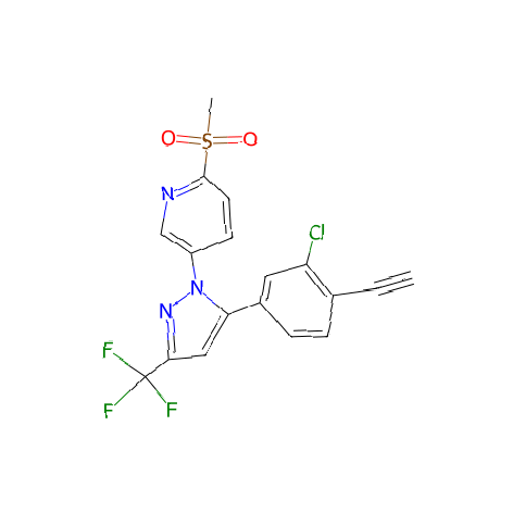 C#Cc1ccc(-c2cc(C(F)(F)F)nn2-c2ccc(S(C)(=O)=O)nc2)cc1Cl